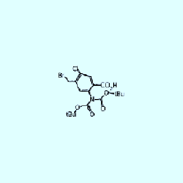 CC(C)(C)OC(=O)N(C(=O)OC(C)(C)C)c1cc(CBr)c(Cl)cc1C(=O)O